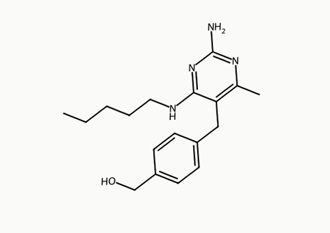 CCCCCNc1nc(N)nc(C)c1Cc1ccc(CO)cc1